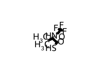 CC(C)[C@H](NC(=O)C(F)(F)F)C(=O)S